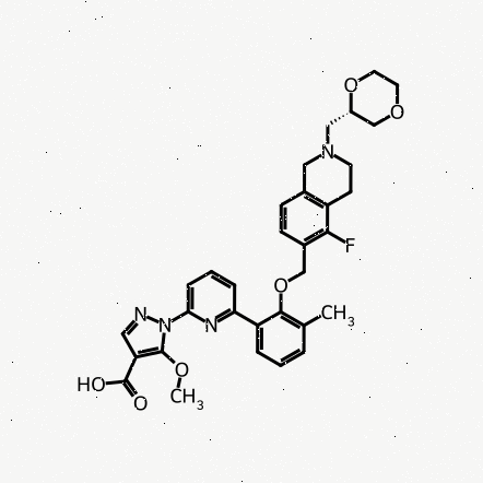 COc1c(C(=O)O)cnn1-c1cccc(-c2cccc(C)c2OCc2ccc3c(c2F)CCN(C[C@H]2COCCO2)C3)n1